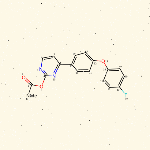 CNC(=O)Oc1nccc(-c2ccc(Oc3ccc(F)cc3)cc2)n1